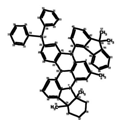 Cc1cc2c3c(c1)N1c4c(cccc4C4(C)CCCCC14C)B3c1ccc(N(c3ccccc3)c3ccccc3)cc1N2c1cccc2c1-c1ccccc1C2(C)C